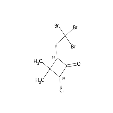 CC1(C)[C@H](CC(Br)(Br)Br)C(=O)[C@@H]1Cl